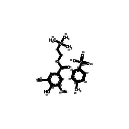 CC(C)(C)c1cc(C(=O)OCC[N+](C)(C)C)cc(C(C)(C)C)c1O.Cc1ccc(S(=O)(=O)[O-])cc1